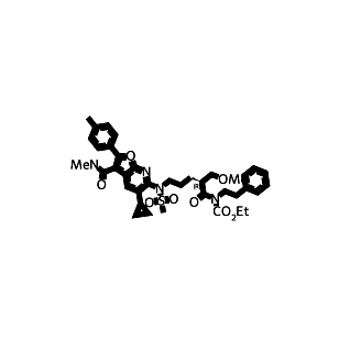 CCOC(=O)N(CCc1ccccc1)C(=O)[C@H](CCCN(c1nc2oc(-c3ccc(C)cc3)c(C(=O)NC)c2cc1C1CC1)S(C)(=O)=O)COC